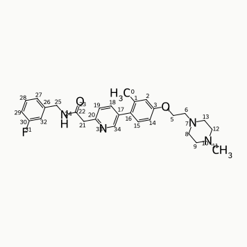 Cc1cc(OCCN2CCN(C)CC2)ccc1-c1ccc(CC(=O)NCc2cccc(F)c2)nc1